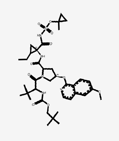 CCC1C[C@]1(NC(=O)C1C[C@@H](Oc2nccc3cc(OC)ccc23)CN1C(=O)C(NC(=O)OCC(C)(C)C)C(C)(C)C)C(=O)NS(=O)(=O)OC1(C)CC1